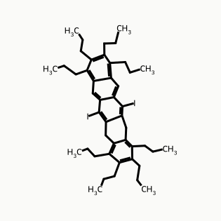 CCCc1c(CCC)c(CCC)c2c(c1CCC)Cc1c(c(I)c3cc4c(CCC)c(CCC)c(CCC)c(CCC)c4cc3c1I)C2